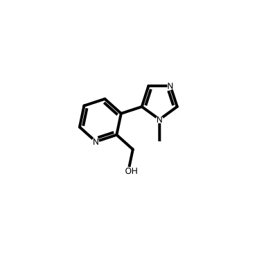 Cn1cncc1-c1cccnc1CO